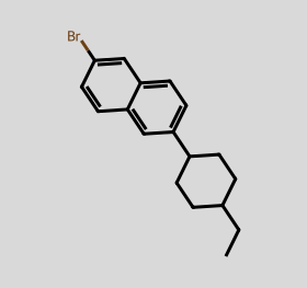 CCC1CCC(c2ccc3cc(Br)ccc3c2)CC1